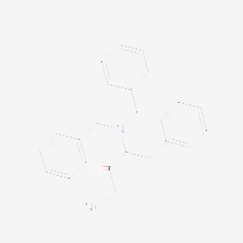 N#CCC(=O)C(Cc1ccccc1)N(Cc1ccccc1)Cc1ccccc1